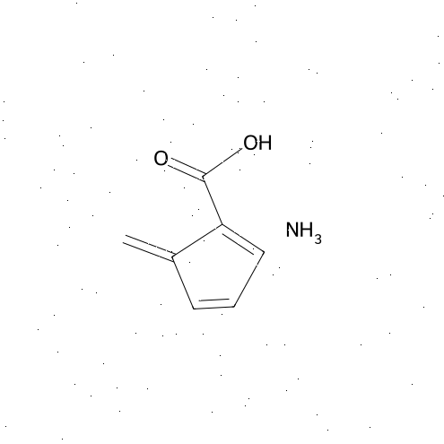 C=C1C=CC=C1C(=O)O.N